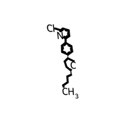 CCCCC[C@H]1CC[C@H](c2ccc(-c3cccc(Cl)n3)cc2)CC1